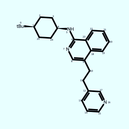 CC(C)(C)[C@H]1CC[C@@H](Nc2ncc(CCc3cccnc3)c3ccccc23)CC1